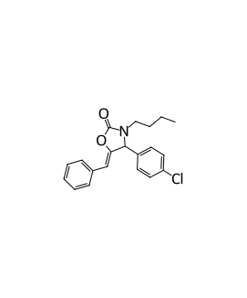 CCCCN1C(=O)O/C(=C\c2ccccc2)C1c1ccc(Cl)cc1